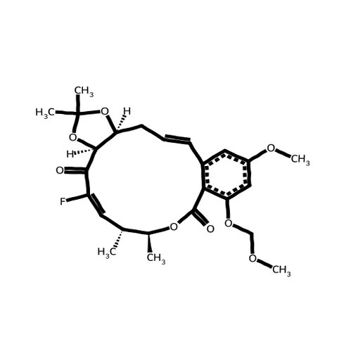 COCOc1cc(OC)cc2c1C(=O)O[C@@H](C)[C@H](C)/C=C(/F)C(=O)[C@H]1OC(C)(C)O[C@H]1C/C=C/2